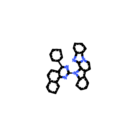 c1ccc(-c2nc(-n3c4ccccc4c4ccn5c6ccccc6nc5c43)nc3c2ccc2ccccc23)cc1